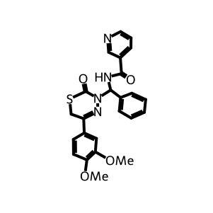 COc1ccc(C2=NN(C(NC(=O)c3cccnc3)c3ccccc3)C(=O)SC2)cc1OC